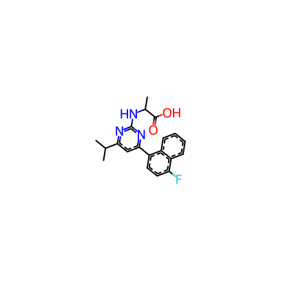 CC(Nc1nc(-c2ccc(F)c3ccccc23)cc(C(C)C)n1)C(=O)O